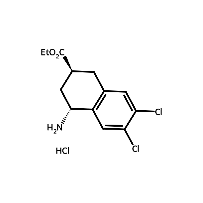 CCOC(=O)[C@H]1Cc2cc(Cl)c(Cl)cc2[C@H](N)C1.Cl